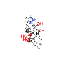 C=C1C2C(=O)[C@]34[C@H]2[C@H]1CC[C@H]3[C@@]12CO[C@]4(O)[C@@H](O)[C@@H]1C(C)(C)C(n1ccnn1)[C@@H](O)[C@H]2O